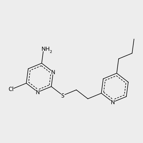 CCCc1ccnc(CCSc2nc(N)cc(Cl)n2)c1